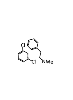 CNCCc1ccccc1.Clc1cccc(Cl)c1